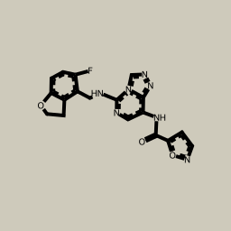 O=C(Nc1cnc(NCc2c(F)ccc3c2CCO3)n2cnnc12)c1ccno1